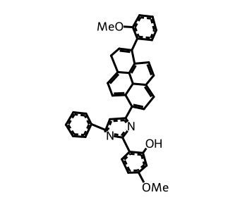 COc1ccc(-c2nc(C3=CC=C4C=CC5=C6C(=CC=C3C46)CC=C5c3ccccc3OC)cc(-c3ccccc3)n2)c(O)c1